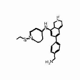 CCSN1CCC(NC2=CC(c3ccc(CN)cc3)=CC3=CCNCC32)CC1